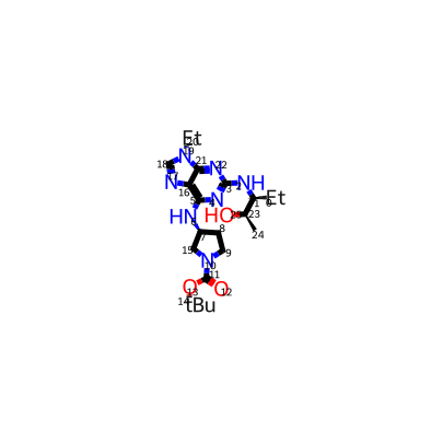 CC[C@H](Nc1nc(N[C@H]2CCN(C(=O)OC(C)(C)C)C2)c2ncn(CC)c2n1)[C@@H](C)O